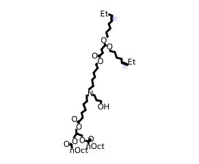 CC/C=C\CCCCOC(CCC(=O)OCCCCCCCN(CCCO)CCCCCCC(=O)OCC(COC(=O)CCCCCCCC)COC(=O)CCCCCCCC)OCCCC/C=C\CC